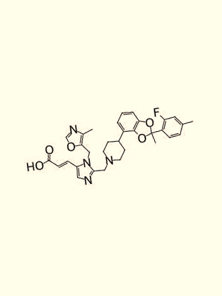 Cc1ccc(C2(C)Oc3cccc(C4CCN(Cc5ncc(/C=C/C(=O)O)n5Cc5ocnc5C)CC4)c3O2)c(F)c1